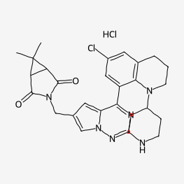 CC1(C)C2C(=O)N(Cc3cc4c(-c5cc(Cl)cc6c5N(C5CCNCC5)CCC6)ncnn4c3)C(=O)C21.Cl